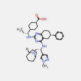 CC[C@@H](Nc1nc2c(c(N[C@@H](CN3C4CCC[C@@H]3CC4)c3cnn(C)c3)n1)C[C@H](c1ccccc1)CC2)C1CCC(C(=O)O)CC1